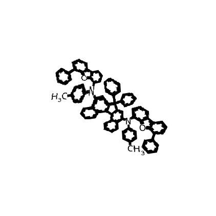 Cc1ccc(N(c2cc3c(c4ccccc24)-c2c(cc(N(c4ccc(C)cc4)c4cccc5c4oc4c(-c6ccccc6)cccc45)c4ccccc24)C3(c2ccccc2)c2ccccc2)c2cccc3c2oc2c(-c4ccccc4)cccc23)cc1